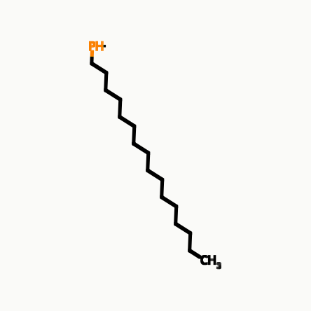 CCCCCCCCCCCCCCCC[PH]